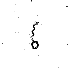 BrCCCCSc1ccccc1